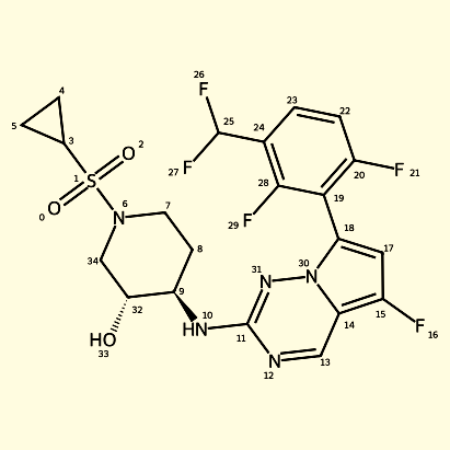 O=S(=O)(C1CC1)N1CC[C@@H](Nc2ncc3c(F)cc(-c4c(F)ccc(C(F)F)c4F)n3n2)[C@H](O)C1